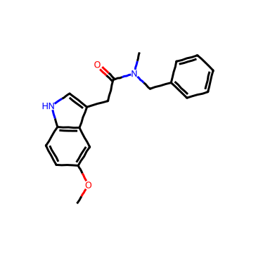 COc1ccc2[nH]cc(CC(=O)N(C)Cc3ccccc3)c2c1